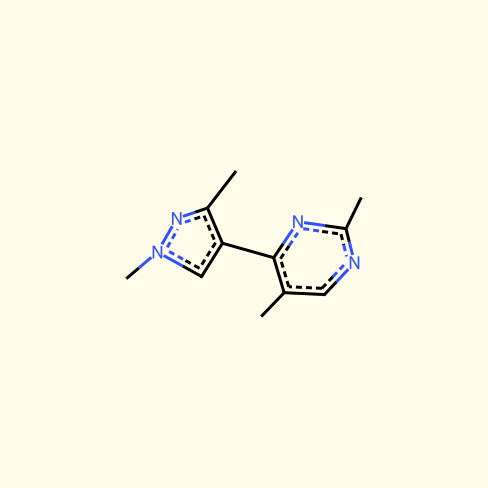 Cc1ncc(C)c(-c2cn(C)nc2C)n1